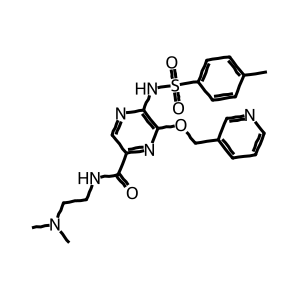 Cc1ccc(S(=O)(=O)Nc2ncc(C(=O)NCCN(C)C)nc2OCc2cccnc2)cc1